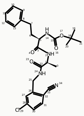 C[C@H](NC(=O)[C@@H](CCc1ccccc1)NC(=O)OC(C)(C)C)C(=O)NCc1cc(Cl)ccc1C#N